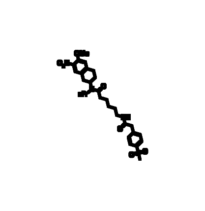 CCCN(C(=O)CCCCCNC(=O)Cc1ccc(S(C)(=O)=O)cc1)C1CCc2cc(OC)c([N+](=O)[O-])cc2C1